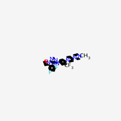 CN1CCN(C2CCN(c3ccc(Nc4cc(N5OCC[C@@H]5c5cc(F)cc(F)c5)ncn4)cc3C(F)(F)F)CC2)CC1